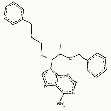 C[C@H](OCc1ccccc1)[C@@H](CCCCc1ccccc1)n1cnc2c(N)ncnc21